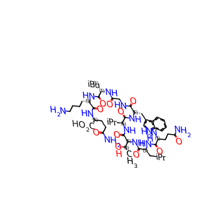 CC[C@H](C)[C@H](NC(=O)CNC(=O)[C@H](Cc1c[nH]c2ccccc12)NC(=O)[C@@H](NC(=O)[C@@H](NC(=O)[C@H](CC(C)C)NC(=O)[C@@H](N)CCC(N)=O)[C@@H](C)O)C(C)C)C(=O)N[C@@H](CCCCN)C(=O)N[C@@H](CCC(N)=O)C(=O)O